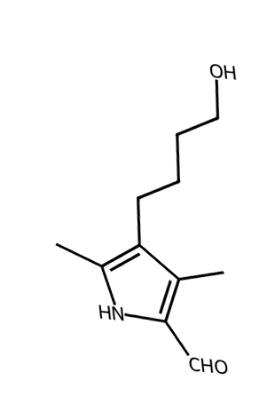 Cc1[nH]c(C=O)c(C)c1CCCCO